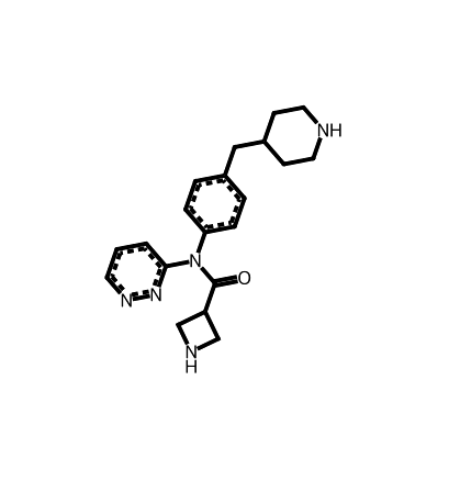 O=C(C1CNC1)N(c1ccc(CC2CCNCC2)cc1)c1cccnn1